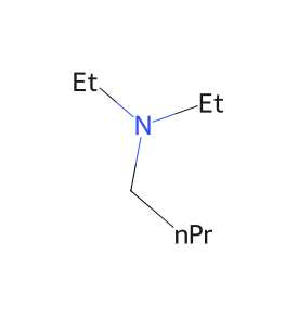 [CH2]CCCN(CC)CC